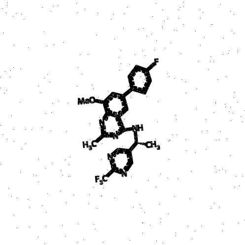 COc1cc(-c2ccc(F)cc2)cc2c(N[C@H](C)c3cnc(C(F)(F)F)nc3)nc(C)nc12